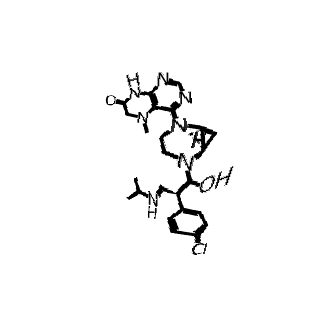 CC(C)NC[C@H](c1ccc(Cl)cc1)C(O)N1CCN(c2ncnc3c2N(C)CC(=O)N3)[C@@H]2C[C@]21C